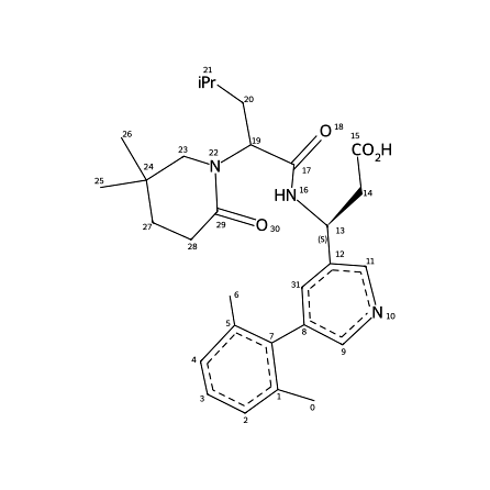 Cc1cccc(C)c1-c1cncc([C@H](CC(=O)O)NC(=O)C(CC(C)C)N2CC(C)(C)CCC2=O)c1